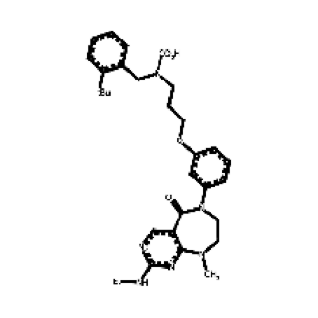 CCNc1ncc2c(n1)N(C)CCN(c1cccc(OCCCN(Cc3ccccc3C(C)(C)C)C(=O)O)c1)C2=O